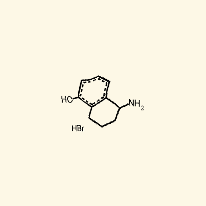 Br.NC1CCCc2c(O)cccc21